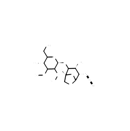 CCCCOC1C(OCCCC)[C@H](O)C(CO)O[C@H]1OC1[C@@H](OC(C)=O)[C@H](N=[N+]=[N-])C2OC[C@H]1O2